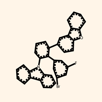 Fc1cc(Br)cc(-c2c(-c3ccc4oc5ccccc5c4c3)cccc2-n2c3ccccc3c3ccccc32)c1